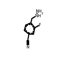 N#Cc1ccc(CNN)c(F)c1